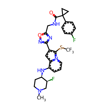 CN1CC[C@@H](Nc2cccn3c(SC(F)(F)F)c(-c4noc(CNC(=O)C5(c6ccc(F)cc6)CC5)n4)cc23)[C@@H](F)C1